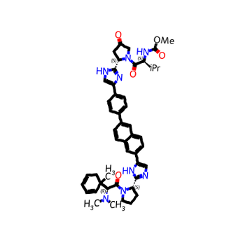 COC(=O)N[C@H](C(=O)N1CC(=O)C[C@H]1c1nc(-c2ccc(-c3ccc4cc(-c5cnc([C@@H]6CCCN6C(=O)[C@H](N(C)C)C6(C)C=CC=CC6)[nH]5)ccc4c3)cc2)c[nH]1)C(C)C